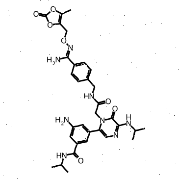 Cc1oc(=O)oc1CO/N=C(\N)c1ccc(CNC(=O)Cn2c(-c3cc(N)cc(C(=O)NC(C)C)c3)cnc(NC(C)C)c2=O)cc1